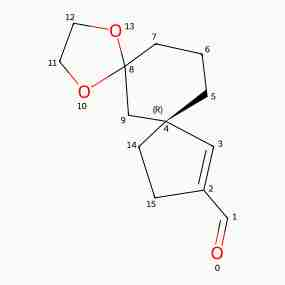 O=CC1=C[C@]2(CCCC3(C2)OCCO3)CC1